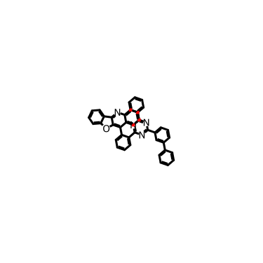 c1ccc(-c2cccc(-c3nc(-c4ccccc4)nc(-c4ccccc4-c4c5ccccc5nc5c4oc4ccccc45)n3)c2)cc1